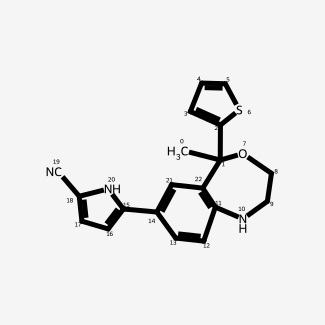 CC1(c2cccs2)OCCNc2ccc(-c3ccc(C#N)[nH]3)cc21